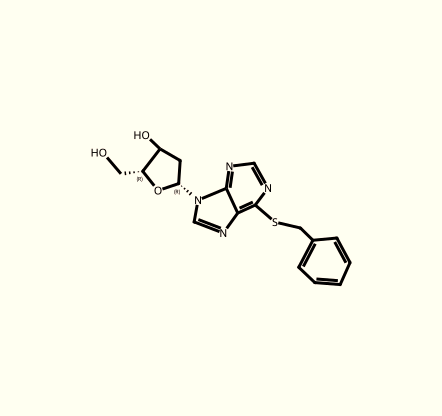 OC[C@H]1O[C@@H](n2cnc3c(SCc4ccccc4)ncnc32)CC1O